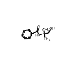 CC(C)(CO)NC(=O)c1cc[c]cc1